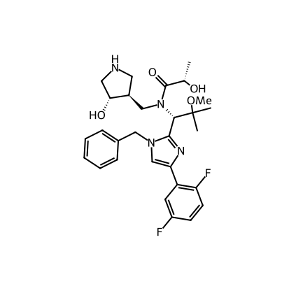 COC(C)(C)[C@H](c1nc(-c2cc(F)ccc2F)cn1Cc1ccccc1)N(C[C@@H]1CNC[C@H]1O)C(=O)[C@H](C)O